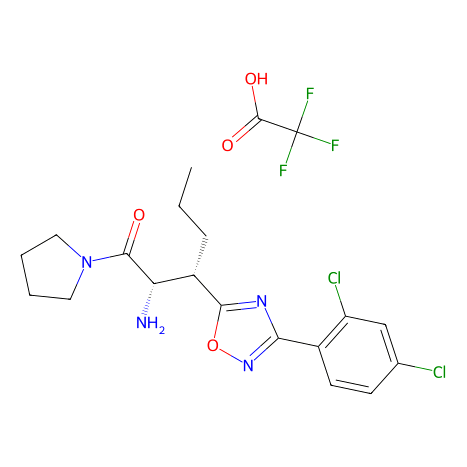 CCC[C@H](c1nc(-c2ccc(Cl)cc2Cl)no1)[C@H](N)C(=O)N1CCCC1.O=C(O)C(F)(F)F